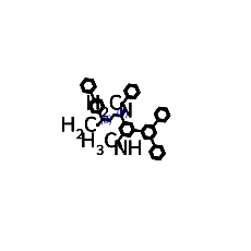 C=C/C(=C/C/C(=N\C(=C)c1ccccc1)c1cc(C(C)=N)cc(-c2cc(-c3ccccc3)cc(-c3ccccc3)c2)c1)c1ccc(-c2ccccc2)cc1